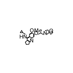 COc1cc2c(NCC3CC3)c3c(nc2cc1OCCCN1CCC2(CCO2)C1)CCC3